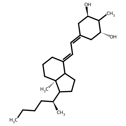 CCCC[C@H](C)C1CCC2/C(=C/C=C3C[C@@H](O)C(C)[C@H](O)C3)CCC[C@@]21C